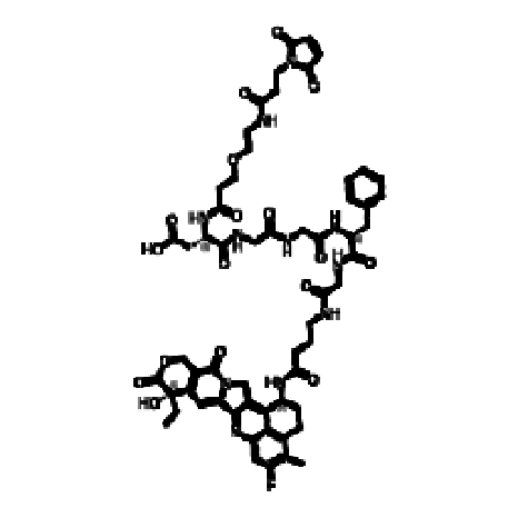 CC[C@@]1(O)C(=O)OCc2c1cc1n(c2=O)Cc2c-1nc1cc(F)c(C)c3c1c2[C@@H](NC(=O)CCCNC(=O)CNC(=O)[C@H](Cc1ccccc1)NC(=O)CNC(=O)CNC(=O)[C@H](CC(=O)O)NC(=O)CCOCCNC(=O)CCN1C(=O)C=CC1=O)CC3